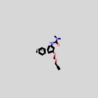 C#CCOCOc1cccc(NC(=O)N(C)C)c1.CCCCCC.c1ccccc1